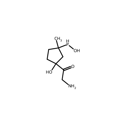 CC1(PO)CCC(O)(C(=O)CN)C1